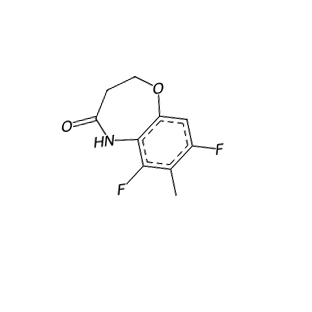 Cc1c(F)cc2c(c1F)NC(=O)CCO2